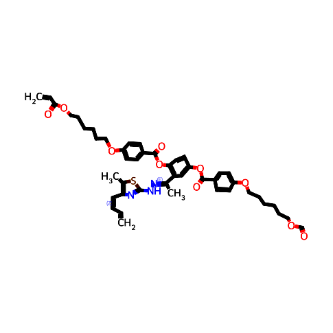 C=C/C=C\c1nc(N/N=C(\C)c2cc(OC(=O)c3ccc(OCCCCCCOC=O)cc3)ccc2OC(=O)c2ccc(OCCCCCCOC(=O)C=C)cc2)sc1C